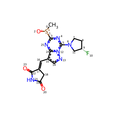 C[S+]([O-])c1nc(N2CC[C@H](F)C2)n2ncc(/C=C3\CC(=O)NC3=O)c2n1